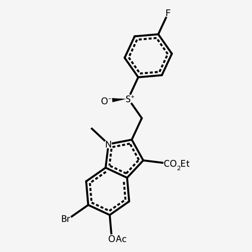 CCOC(=O)c1c(C[S@@+]([O-])c2ccc(F)cc2)n(C)c2cc(Br)c(OC(C)=O)cc12